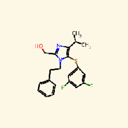 CC(C)c1nc(CO)n(CCc2ccccc2)c1Sc1cc(F)cc(F)c1